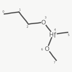 CCC[O][Hf]([CH3])[O]C